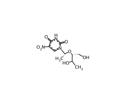 CC(O)[C@@H](CO)O[C@H](C)n1cc([N+](=O)[O-])c(=O)[nH]c1=O